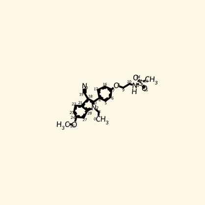 CCn1c(-c2ccc(OCCNS(C)(=O)=O)cc2)c(C#N)c2ccc(OC)cc21